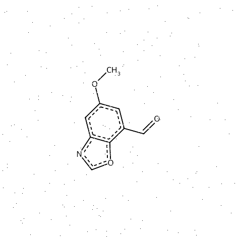 COc1cc(C=O)c2ocnc2c1